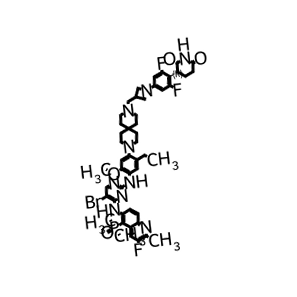 CCc1cc(Nc2ncc(Br)c(Nc3ccc4nc(C)c(F)cc4c3P(C)(C)=O)n2)c(OC)cc1N1CCC2(CCN(CC3CN(c4cc(F)c([C@H]5CCC(=O)NC5=O)c(F)c4)C3)CC2)CC1